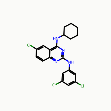 Clc1cc(Cl)cc(Nc2nc(NC3CCCCC3)c3cc(Cl)ccc3n2)c1